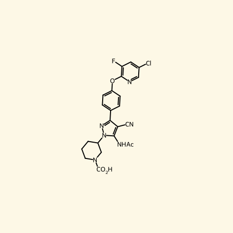 CC(=O)Nc1c(C#N)c(-c2ccc(Oc3ncc(Cl)cc3F)cc2)nn1C1CCCN(C(=O)O)C1